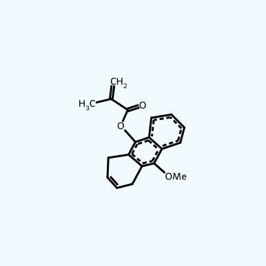 C=C(C)C(=O)Oc1c2c(c(OC)c3ccccc13)CC=CC2